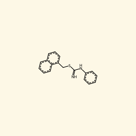 N=C(Nc1ccccc1)SCc1cccc2ccccc12